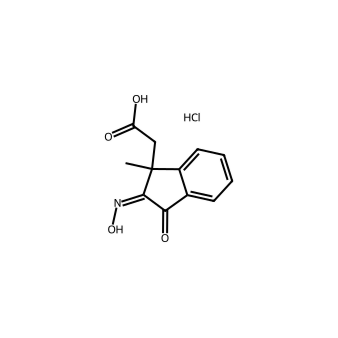 CC1(CC(=O)O)C(=NO)C(=O)c2ccccc21.Cl